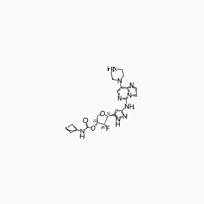 O=C(NC12CC(C1)C2)O[C@H]1CO[C@@H](c2cc(Nc3ncc(N4CCNCC4)c4nccn34)n[nH]2)[C@H]1F